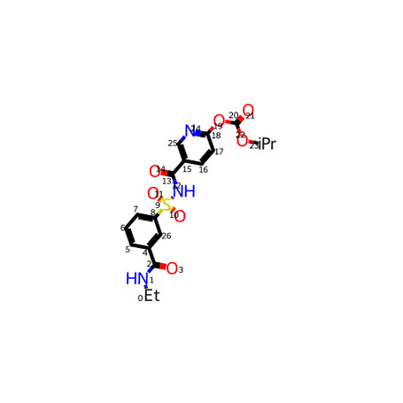 CCNC(=O)c1cccc(S(=O)(=O)NC(=O)c2ccc(OC(=O)OC(C)C)nc2)c1